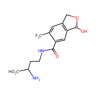 NC(CCNC(=O)c1cc2c(cc1C(F)(F)F)COB2O)C(=O)O